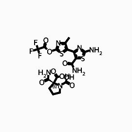 Cc1nc(OC(=O)C(F)(F)F)sc1-c1nc(N)sc1C(N)=O.NC(=O)[C@]1(C(=O)O)CCCN1C(=O)O